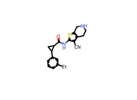 CCc1cccc(C2CC2C(=O)Nc2sc3c(c2C#N)CCNC3)c1